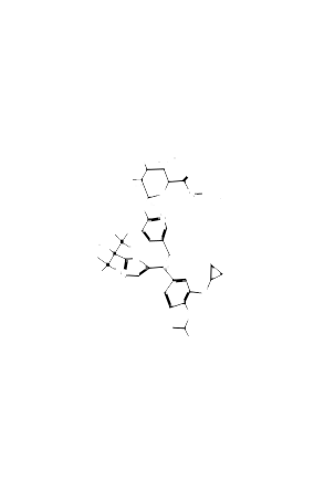 CNC(=O)C1O[C@@H](Oc2ccc(C[C@@H](c3ccc(OC(F)F)c(OC4CC4)c3)c3cnc(C(O)(C(F)(F)F)C(F)(F)F)s3)cn2)[C@@H](O)C(O)[C@@H]1O